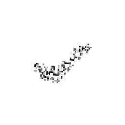 O=C1CCC(N2C(=O)c3cccc(NCc4ccc(CCN5CCC(OC6CCC6)CC5)cc4)c3C2=O)C(=O)N1